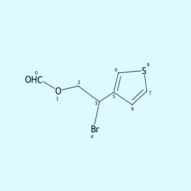 O=COCC(Br)c1ccsc1